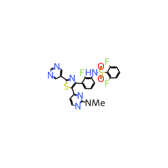 CNc1nccc(-c2sc(-c3cncnc3)nc2-c2cccc(NS(=O)(=O)c3c(F)cccc3F)c2F)n1